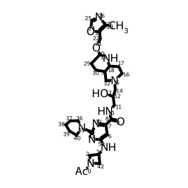 CC(=O)N1CC(Nc2cc(C(=O)NCC(O)CN3CCC4NC(OCc5ocnc5C)CCC4C3)nc(N3CCCCC3)n2)C1